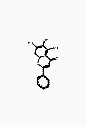 O=C1C=C(c2ccccc2)OC2CC(O)=C(O)C(O)=C12